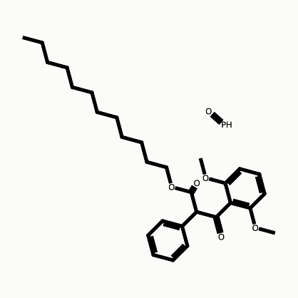 CCCCCCCCCCCCOC(=O)C(C(=O)c1c(OC)cccc1OC)c1ccccc1.O=P